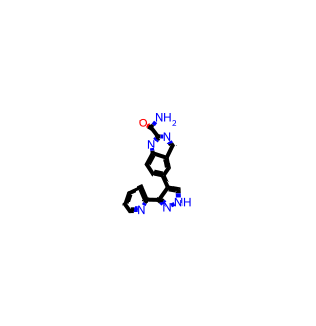 NC(=O)c1n[c]c2cc(-c3c[nH]nc3-c3ccccn3)ccc2n1